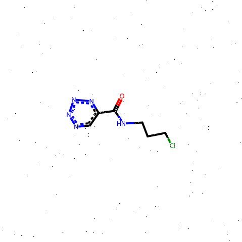 O=C(NCCCCl)c1cnnnn1